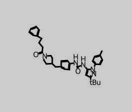 Cc1ccc(-n2nc(C(C)(C)C)cc2NC(=O)Nc2ccc(CC3CCN(C(=O)CCCc4ccccc4)CC3)cc2)cc1